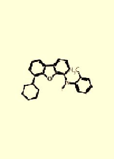 Cc1ccccc1N(I)c1cccc2c1oc1c(C3CCCCC3)cccc12